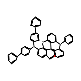 c1ccc(-c2ccc(N(c3ccc(-c4ccccc4)cc3)c3ccc4cccc5c4c3Oc3cccc(N(c4ccccc4)c4ccccc4)c3-5)cc2)cc1